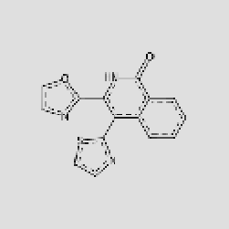 O=c1[nH]c(-c2ncco2)c(-c2nccs2)c2ccccc12